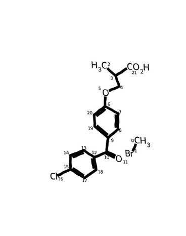 CBr.CC(COc1ccc(C(=O)c2ccc(Cl)cc2)cc1)C(=O)O